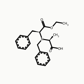 CCOC(=O)[C@H](Cc1ccccc1)N(Cc1ccccc1)[C@@H](C)C(=O)O